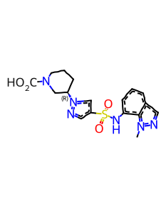 Cn1ncc2cccc(NS(=O)(=O)c3cnn([C@@H]4CCCN(C(=O)O)C4)c3)c21